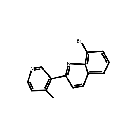 Cc1ccncc1-c1ccc2cccc(Br)c2n1